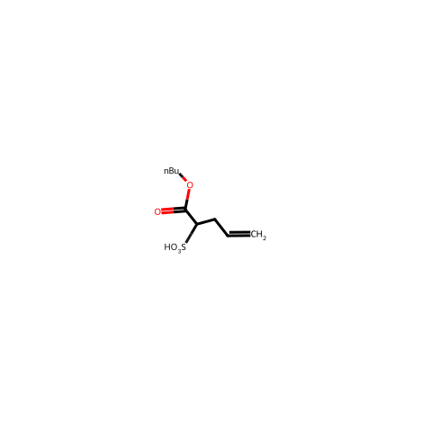 C=CCC(C(=O)OCCCC)S(=O)(=O)O